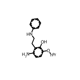 CCCOc1ccc(N)c(CCNc2ccccc2)c1O